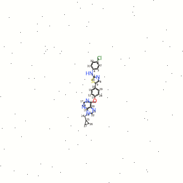 Clc1ccc(Nc2ncc(-c3ccc(Oc4ncnc5c4ncn5CC4CC4)cc3)s2)cc1